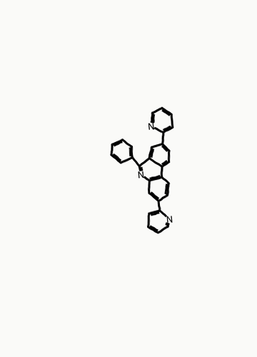 c1ccc(-c2nc3cc(-c4ccccn4)ccc3c3ccc(-c4ccccn4)cc23)cc1